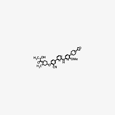 COc1nc(Nc2nccc(-c3ccc(OC4CCN(C(=O)[C@H](C)O)C(C)C4)c(C#N)c3)n2)ccc1N1CCN(C2COC2)CC1